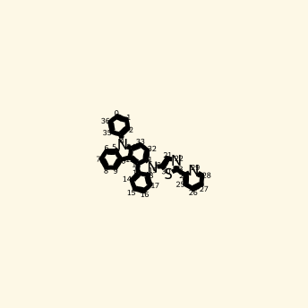 c1ccc(-n2c3ccccc3c3c4c5ccccc5n(-c5cnc(-c6ccccn6)s5)c4ccc32)cc1